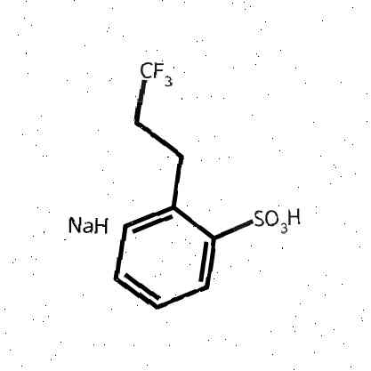 O=S(=O)(O)c1ccccc1CCC(F)(F)F.[NaH]